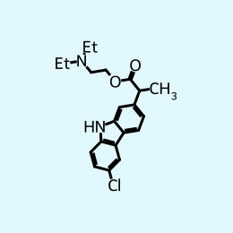 CCN(CC)CCOC(=O)C(C)c1ccc2c(c1)[nH]c1ccc(Cl)cc12